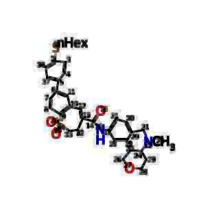 CCCCCCSc1ccc(-c2ccc3c(c2)C=C(C(=O)Nc2ccc(CN(C)C4CCOCC4)cc2)CCS3(=O)=O)cc1